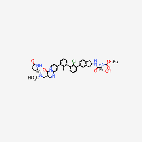 Cc1c(-c2ccn3c(=O)c(CN(C[C@@H]4CCC(=O)N4)C(=O)O)cnc3c2)cccc1-c1cccc(-c2ccc3c(c2)CC(NC(=O)[C@H](CO)NC(=O)OC(C)(C)C)C3)c1Cl